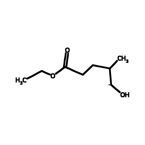 CCOC(=O)CCC(C)[CH]O